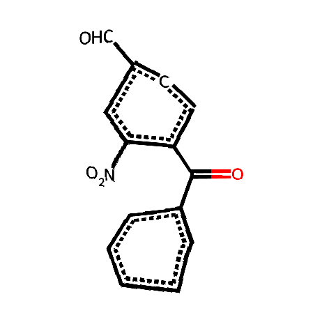 O=Cc1ccc(C(=O)c2ccccc2)c([N+](=O)[O-])c1